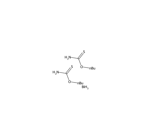 CCCCOC(N)=S.CCCCOC(N)=S.[BiH3]